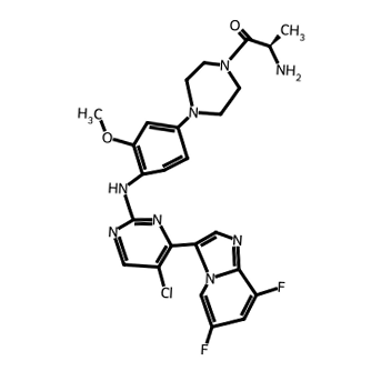 COc1cc(N2CCN(C(=O)[C@@H](C)N)CC2)ccc1Nc1ncc(Cl)c(-c2cnc3c(F)cc(F)cn23)n1